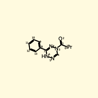 CC(C)C(=O)N1C=NNC(c2ccccc2)=N1